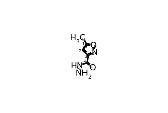 Cc1cc(C(=O)NN)no1